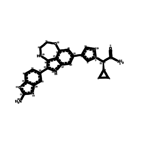 NC(=O)[C@@H](C1CC1)n1cc(-c2cc3c4c(c(-c5ccc6oc(N)nc6c5)[nH]c4c2)NCCO3)cn1